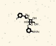 CC(=O)Nc1cccc(S[C@@H]2OC3(CO)[C@H](O)C(n4cc(-c5cccc(F)c5)nn4)C23O)c1